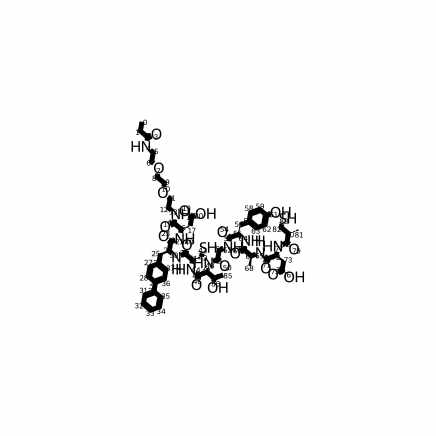 CCC(=O)NCCOCCOCCNC(=O)[C@H](CC(=O)O)NC(=O)[C@H](Cc1ccc(-c2ccccc2)cc1)NC(=O)[C@H](CS)NC(=O)[C@@H](NC(=O)CNC(=O)[C@H](Cc1ccc(O)cc1)NC(=O)[C@H](C)NC(=O)[C@H](CC(=O)O)NC(=O)[C@@H](C)CS)C(C)O